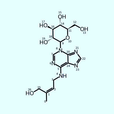 C/C(=C/CNc1ncn(C2O[C@H](CO)[C@@H](O)[C@H](O)[C@H]2O)c2ncnc1-2)CO